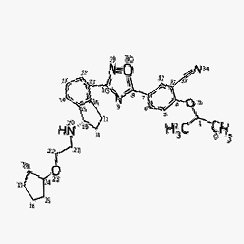 CC(C)Oc1ccc(-c2nc(-c3cccc4c3CC[C@@H]4NCCOC3CCCC3)no2)cc1C#N